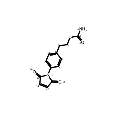 NC(=O)OCCc1ccc(N2C(=O)C=CC2=O)cc1